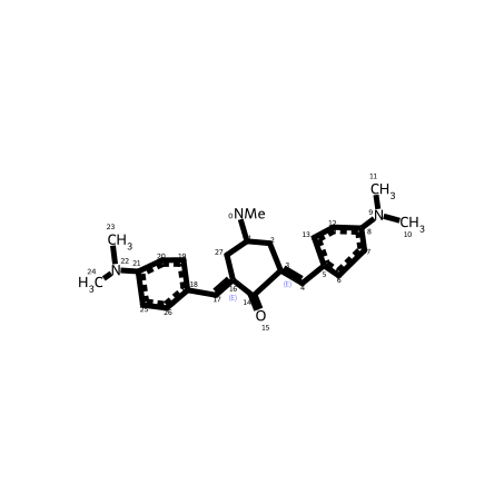 CNC1C/C(=C\c2ccc(N(C)C)cc2)C(=O)/C(=C/c2ccc(N(C)C)cc2)C1